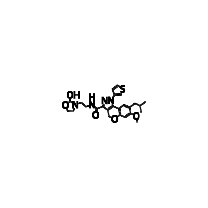 COc1cc2c(cc1CC(C)C)-c1c(c(C(=O)NCCN3CCOC3O)nn1-c1ccsc1)CO2